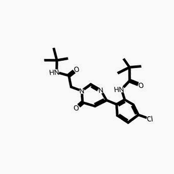 CC(C)(C)NC(=O)Cn1cnc(-c2ccc(Cl)cc2NC(=O)C(C)(C)C)cc1=O